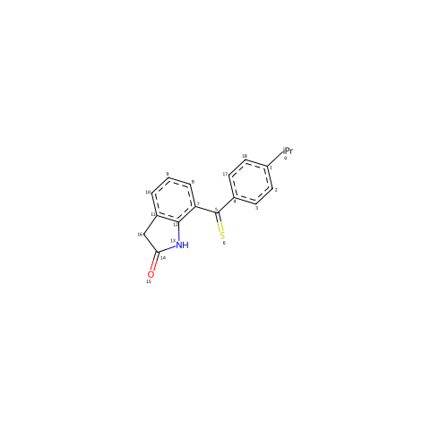 CC(C)c1ccc(C(=S)c2cccc3c2NC(=O)C3)cc1